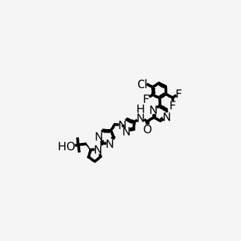 CC(C)(O)C[C@@H]1CCCN1c1ncc(Cn2cc(NC(=O)c3cncc(-c4c(C(F)F)ccc(Cl)c4F)n3)cn2)cn1